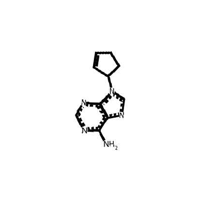 Nc1ncnc2c1ncn2C1C=CCC1